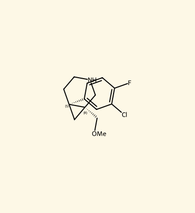 COC[C@@]12CNCC[C@]1(c1ccc(F)c(Cl)c1)C2